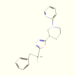 C[C@@](N)(Cc1ccccc1)c1nnc(C2CCCN(c3ccccn3)C2)o1